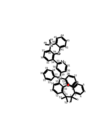 CC1(C)c2ccccc2Oc2c(cccc2[Si](c2ccccc2)(c2ccccc2)c2ccnc(-c3cccc4c3Sc3ccccc3[Si]4(C)C)c2)C1(C)C